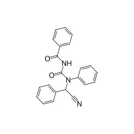 N#CC(c1ccccc1)N(C(=O)NC(=O)c1ccccc1)c1ccccc1